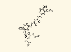 COc1cc(C=CC(=O)CC(=O)C=Cc2ccc(O)c(OC(OCCCBr)OCCCBr)c2)ccc1O